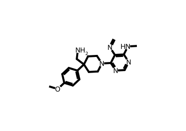 C=Nc1c(NC)ncnc1N1CCC(CN)(c2ccc(OC)cc2)CC1